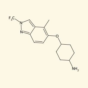 Cc1c(OC2CCC(N)CC2)ccc2nn(C(F)(F)F)cc12